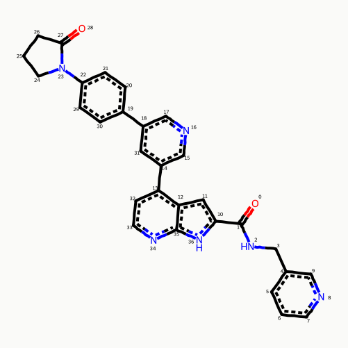 O=C(NCc1cccnc1)c1cc2c(-c3cncc(-c4ccc(N5CCCC5=O)cc4)c3)ccnc2[nH]1